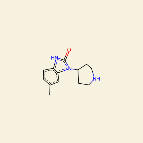 Cc1ccc2[nH]c(=O)n(C3CCNCC3)c2c1